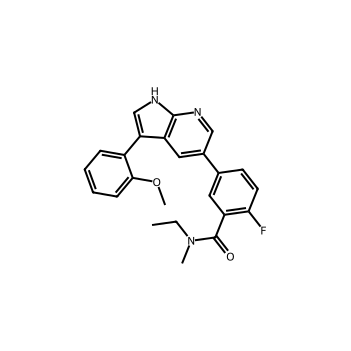 CCN(C)C(=O)c1cc(-c2cnc3[nH]cc(-c4ccccc4OC)c3c2)ccc1F